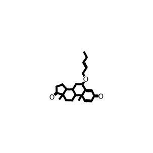 CCC=CCOC1CC2C(CCC3(C)C(=O)CCC23)C2(C)C=CC(=O)C=C12